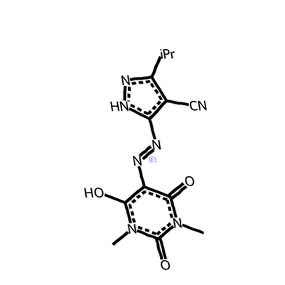 CC(C)c1n[nH]c(/N=N/c2c(O)n(C)c(=O)n(C)c2=O)c1C#N